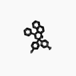 Fc1ccc(C2(c3ccc(F)cc3)C=C(c3ccccc3)c3c(ccc4ccccc34)O2)cc1